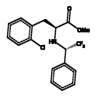 COC(=O)[C@H](Cc1ccccc1Cl)N[C@@H](c1ccccc1)C(F)(F)F